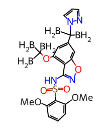 BC(B)(B)Oc1cc(C(B)(B)n2cccn2)cc2onc(NS(=O)(=O)c3c(OC)cccc3OC)c12